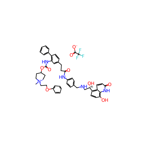 C[N+]1(CCOc2ccccc2)CCC(OC(=O)Nc2cc(CCC(=O)Nc3ccc(CNC[C@H](O)c4ccc(O)c5[nH]c(=O)ccc45)cc3)ccc2-c2ccccc2)CC1.O=C([O-])C(F)(F)F